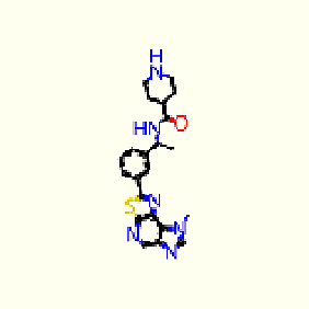 C[C@H](NC(=O)C1CCNCC1)c1cccc(-c2nc3c(ncc4ncn(C)c43)s2)c1